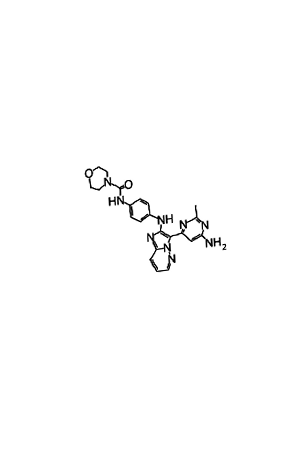 Cc1nc(N)cc(-c2c(Nc3ccc(NC(=O)N4CCOCC4)cc3)nc3cccnn23)n1